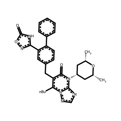 CCCCc1c(Cc2ccc(-c3ccccc3)c(-c3noc(=O)[nH]3)c2)c(=O)n([C@H]2C[C@@H](C)O[C@@H](C)C2)c2ncnn12